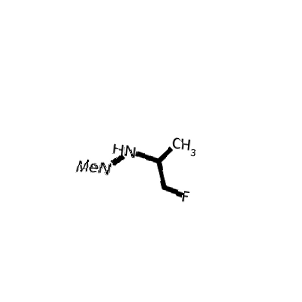 CNNC(C)CF